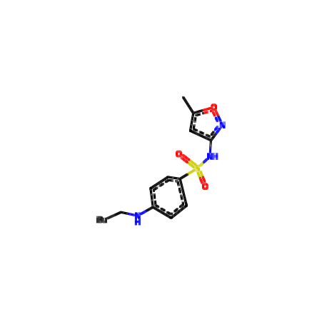 CCC(C)CNc1ccc(S(=O)(=O)Nc2cc(C)on2)cc1